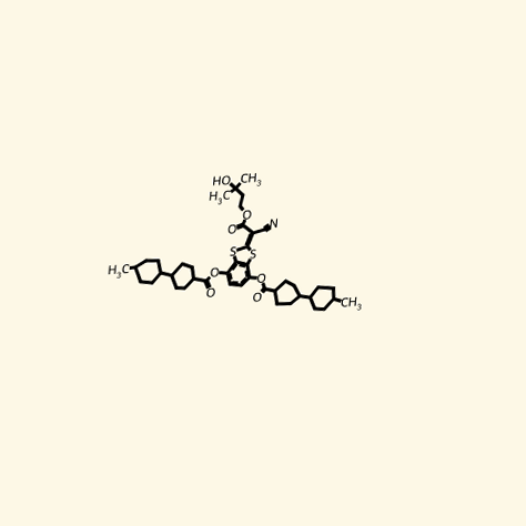 CC1CCC(C2CCC(C(=O)Oc3ccc(OC(=O)C4CCC(C5CCC(C)CC5)CC4)c4c3SC(=C(C#N)C(=O)OCCC(C)(C)O)S4)CC2)CC1